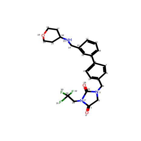 O=C1CN(Cc2ccc(-c3cccc(CNC4CCOCC4)c3)cc2)C(=O)N1CC(F)(F)F